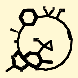 Cc1nc2c3cc(C4(C#N)CC4)c(=O)n(c3n1)CCCCC/C=C\CC(O)C(F)(F)c1cccc(c1)[C@@H](C)N2